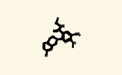 CCNC(=O)c1cc(N)c(NC)cc1N1CCc2ccc(Cl)cc2C1